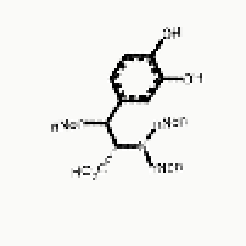 CCCCCCCCCC(c1ccc(O)c(O)c1)[C@@H](C(=O)O)N(CCCCCCCCC)CCCCCCCCC